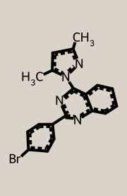 Cc1cc(C)n(-c2nc(-c3ccc(Br)cc3)nc3ccccc23)n1